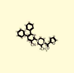 CC1CN(c2nc(-c3ccccc3)c(-c3ccccc3)cc2C#N)CCN1C(=O)c1ccco1